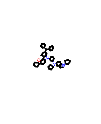 c1ccc(C(c2ccccc2)c2ccc3c4c5oc6ccccc6c5ccc4n(-c4cccc(N(c5ccccc5)c5ccc6c(ccn6-c6ccccc6)c5)c4)c3c2)cc1